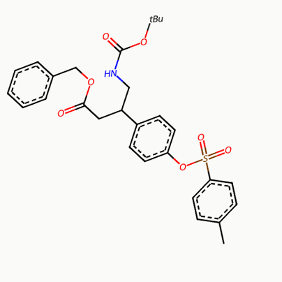 Cc1ccc(S(=O)(=O)Oc2ccc(C(CNC(=O)OC(C)(C)C)CC(=O)OCc3ccccc3)cc2)cc1